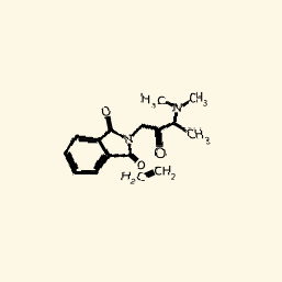 C=C.CC(C(=O)CN1C(=O)c2ccccc2C1=O)N(C)C